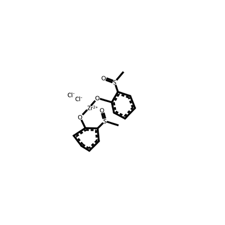 CS(=O)c1ccccc1[O][Zr+2][O]c1ccccc1S(C)=O.[Cl-].[Cl-]